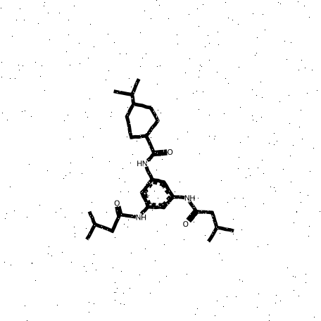 CC(C)CC(=O)Nc1cc(NC(=O)CC(C)C)cc(NC(=O)C2CCC(C(C)C)CC2)c1